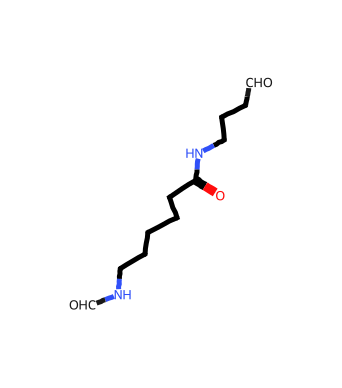 O=CCCCNC(=O)CCCCCNC=O